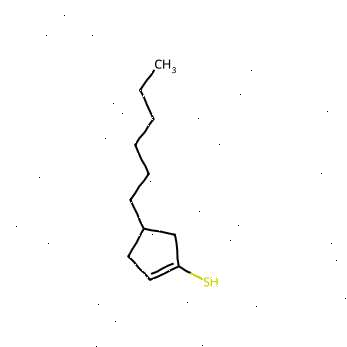 CCCCCCC1CC=C(S)C1